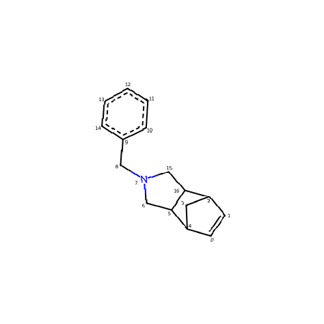 C1=CC2CC1C1CN(Cc3ccccc3)CC21